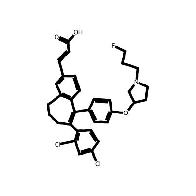 O=C(O)/C=C/c1ccc2c(c1)CCCC(c1ccc(Cl)cc1Cl)=C2c1ccc(OC2CCN(CCCF)C2)cc1